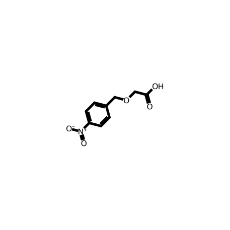 O=C(O)COCc1ccc([N+](=O)[O-])cc1